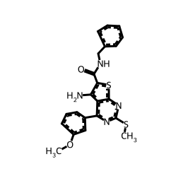 COc1cccc(-c2nc(SC)nc3sc(C(=O)NCc4ccccc4)c(N)c23)c1